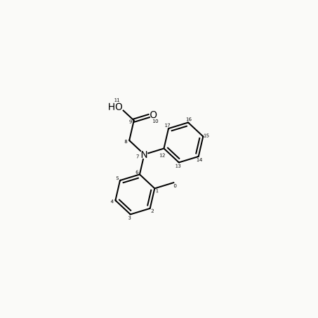 Cc1ccccc1N(CC(=O)O)c1ccccc1